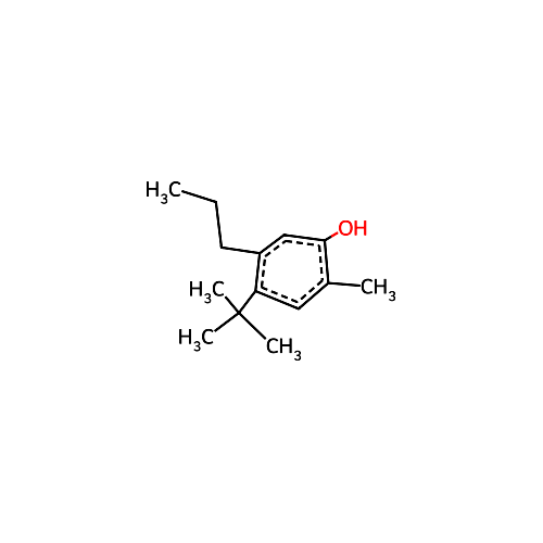 CCCc1cc(O)c(C)cc1C(C)(C)C